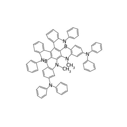 CN1c2cc(N(c3ccccc3)c3ccccc3)ccc2B2c3c(c4c5c(c31)N(C)c1cc(N(c3ccccc3)c3ccccc3)ccc1B5N(c1ccccc1)c1ccccc1-4)-c1ccccc1N2c1ccccc1